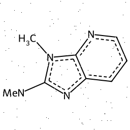 CNc1nc2cccnc2n1C